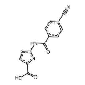 N#Cc1ccc(C(=O)Nc2nc(C(=O)O)cs2)cc1